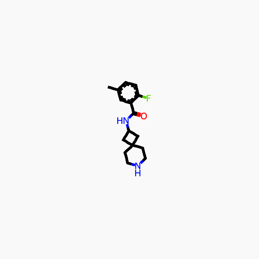 Cc1ccc(F)c(C(=O)NC2CC3(CCNCC3)C2)c1